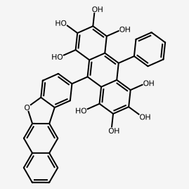 Oc1c(O)c(O)c2c(-c3ccc4oc5cc6ccccc6cc5c4c3)c3c(O)c(O)c(O)c(O)c3c(-c3ccccc3)c2c1O